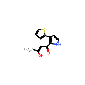 O=C(O)C(O)=CC(=O)c1[nH]ccc1-c1cccs1